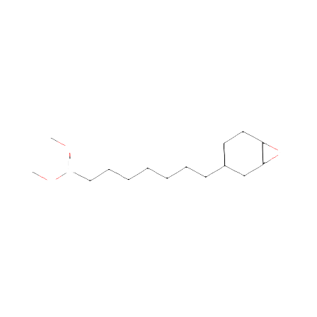 CO[SiH](CCCCCCCC1CCC2OC2C1)OC